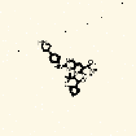 CN(C)C(=O)c1cc2cnc(Nc3ccc(C4CCNC4)cc3)nc2n(C2C(=O)c3ccccc3OC2(C)C)c1=O